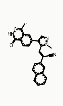 [CH2]c1n[nH]c(=O)c2ccc(-c3cnn(C)c3C=C(C#N)c3ccc4ccccc4c3)cc12